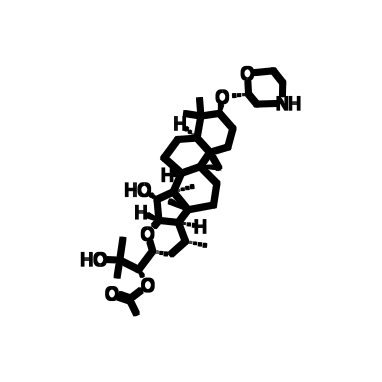 CC(=O)O[C@@H]([C@H]1C[C@@H](C)[C@H]2[C@H](O1)[C@H](O)[C@@]1(C)[C@@H]3CC[C@H]4C(C)(C)[C@@H](O[C@H]5CNCCO5)CCC45C[C@@]35CC[C@]21C)C(C)(C)O